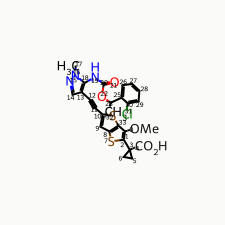 COc1c(C2(C(=O)O)CC2)sc2cc(C#Cc3cnn(C)c3NC(=O)OC(C)c3ccccc3Cl)sc12